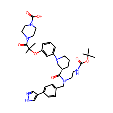 CC(C)(C)OC(=O)NCCN(Cc1ccc(-c2cn[nH]c2)cc1)C(=O)[C@@H]1CCCN(c2cccc(OC(C)(C)C(=O)N3CCN(C(=O)O)CC3)c2)C1